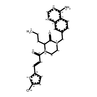 CCCC1C(=O)N(Cc2ccc3c(N)ncnc3c2)CCN1C(=O)/C=C/c1ccc(Cl)s1